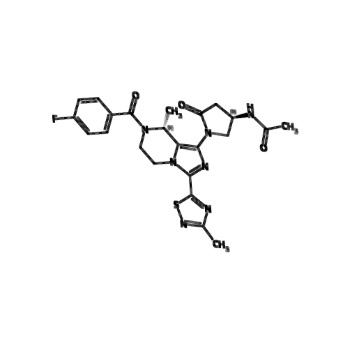 CC(=O)N[C@@H]1CC(=O)N(c2nc(-c3nc(C)ns3)n3c2[C@@H](C)N(C(=O)c2ccc(F)cc2)CC3)C1